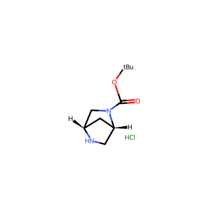 CC(C)(C)OC(=O)N1C[C@@H]2C[C@H]1CN2.Cl